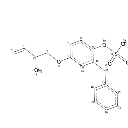 C=CC(O)COc1ccc(OS(=O)(=O)C(F)(F)F)c(Cc2ccccc2)n1